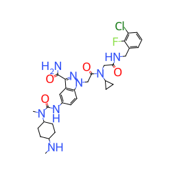 CNC1CCC(N(C)C(=O)Nc2ccc3c(c2)c(C(N)=O)nn3CC(=O)N(CC(=O)NCc2cccc(Cl)c2F)C2CC2)CC1